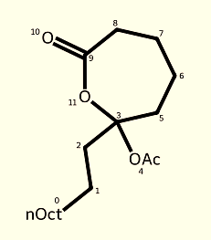 CCCCCCCCCCC1(OC(C)=O)CCCCC(=O)O1